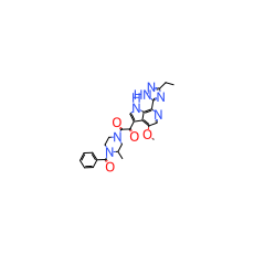 CCc1n[nH]c(-c2ncc(OC)c3c(C(=O)C(=O)N4CCN(C(=O)c5ccccc5)C(C)C4)c[nH]c23)n1